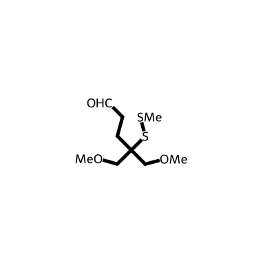 COCC(CCC=O)(COC)SSC